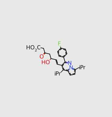 CC(C)c1c(C=CC(O)CC(=O)CC(=O)O)c(-c2ccc(F)cc2)nn2c(C(C)C)ccc12